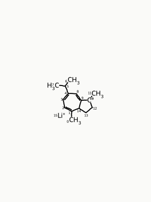 CC1=CC=C(C(C)C)C=C2[C-](C)CCC12.[Li+]